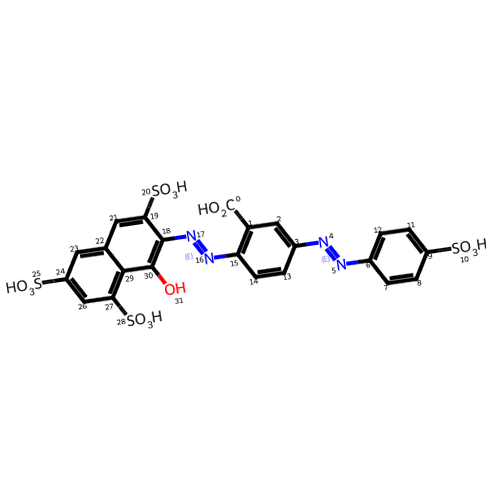 O=C(O)c1cc(/N=N/c2ccc(S(=O)(=O)O)cc2)ccc1/N=N/c1c(S(=O)(=O)O)cc2cc(S(=O)(=O)O)cc(S(=O)(=O)O)c2c1O